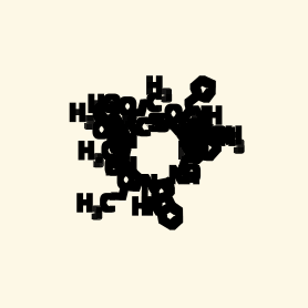 CCC/C=C(/NC(C(=O)O)C(C)O)C1CSSCC(NC(=O)C(Cc2ccccc2)NC(=O)CC)C(=O)NC(Cc2ccc(O)cc2)C(=O)NC(Cc2c[nH]c3ccccc23)C(=O)NC(CCCCC)C(=O)NC(C(C)O)C(=O)N1